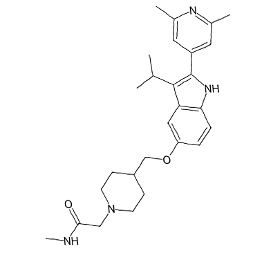 CNC(=O)CN1CCC(COc2ccc3[nH]c(-c4cc(C)nc(C)c4)c(C(C)C)c3c2)CC1